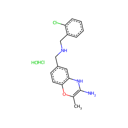 CC1=C(N)Nc2cc(CNCc3ccccc3Cl)ccc2O1.Cl.Cl